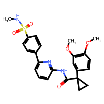 CNS(=O)(=O)c1ccc(-c2cccc(NC(=O)C3(c4ccc(OC)c(OC)c4)CC3)n2)cc1